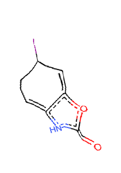 O=c1[nH]c2c(o1)=CC(I)CC=2